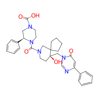 O=C(O)N1CCN(C(=O)N2CC[C@@](O)(Cn3cnc(-c4ccccc4)cc3=O)C3(CCCC3)C2)[C@@H](c2ccccc2)C1